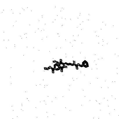 CCCN1C(=O)[C@H](CCCCNC(=O)OCc2ccccc2)NC(=O)C12CCN(C(=O)OC(C)(C)C)CC2